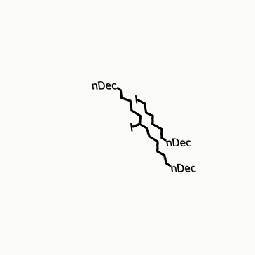 CCCCCCCCCCCCCCCCC(I)CCCCCCCCCCCCCCC.CCCCCCCCCCCCCCCCI